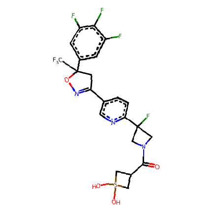 O=C(C1CS(O)(O)C1)N1CC(F)(c2ccc(C3=NOC(c4cc(F)c(F)c(F)c4)(C(F)(F)F)C3)cn2)C1